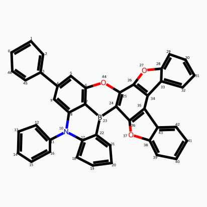 c1ccc(-c2cc3c4c(c2)N(c2ccccc2)c2ccccc2B4c2c(c4oc5ccccc5c4c4c2oc2ccccc24)O3)cc1